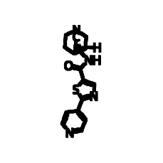 O=C(N[C@H]1CN2CCC1CC2)c1cnc(-c2ccncc2)s1